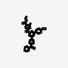 CCOC(=O)c1sc(Nc2nc(-c3ccc(C(=O)N4CCSCC4)cc3)cc(N3CCC(O)CC3)n2)nc1C